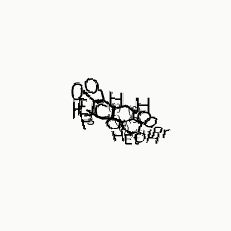 CC[C@H]1[C@@H]2O[C@@]23[C@@]2(C)CC(F)(F)C4=C(COC4=O)[C@@H]2C[C@@H]2O[C@@]23C(=O)[C@]1(O)C(C)C